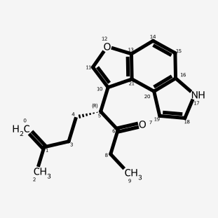 C=C(C)CC[C@@H](C(=O)CC)c1coc2ccc3[nH]ccc3c12